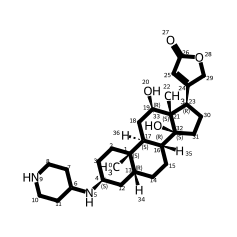 C[C@]12CC[C@H](NC3CCNCC3)C[C@H]1CC[C@@H]1[C@@H]2C[C@@H](O)[C@]2(C)[C@@H](C3=CC(=O)OC3)CC[C@]12O